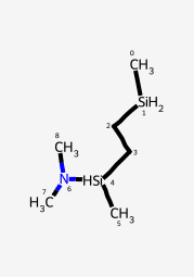 C[SiH2]CC[SiH](C)N(C)C